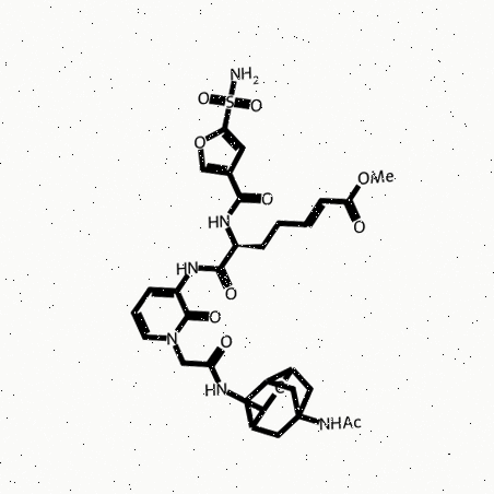 COC(=O)/C=C/CC[C@H](NC(=O)c1coc(S(N)(=O)=O)c1)C(=O)Nc1cccn(CC(=O)NC2CC3CC4(NC(C)=O)CC3CC2C4)c1=O